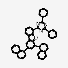 c1ccc(-c2nc(-c3ccccc3)nc(-c3cccc4c3oc3c(-c5cccc6ccccc56)cc(-c5cccc6ccccc56)cc34)n2)cc1